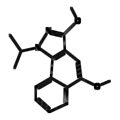 COc1cc2c(OC)nn(C(C)C)c2c2ccccc12